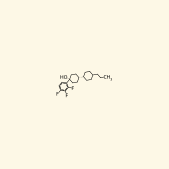 CCCC1CCC([C@H]2CC[C@](O)(c3ccc(F)c(F)c3F)CC2)CC1